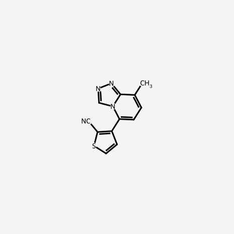 Cc1ccc(-c2ccsc2C#N)n2cnnc12